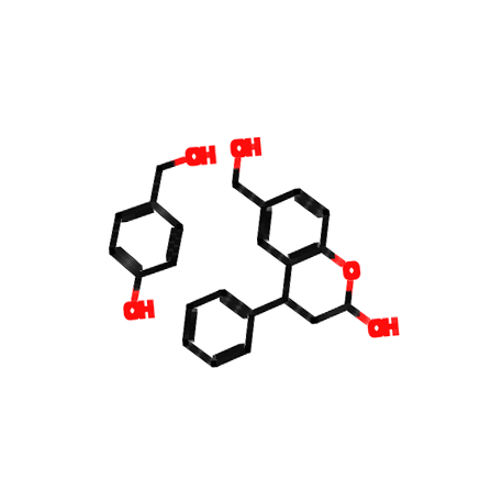 OCc1ccc(O)cc1.OCc1ccc2c(c1)C(c1ccccc1)CC(O)O2